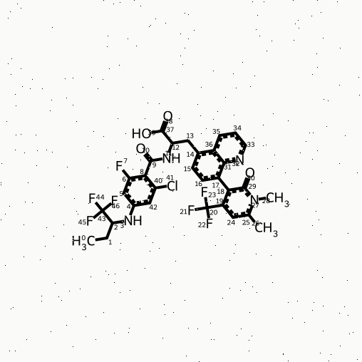 CCC(Nc1cc(F)c(C(=O)NC(Cc2ccc(-c3c(C(F)(F)F)cc(C)n(C)c3=O)c3ncccc23)C(=O)O)c(Cl)c1)C(F)(F)F